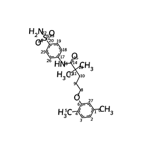 Cc1ccc(C)c(OCCCC(C)(C)C(=O)Nc2ccc(S(N)(=O)=O)cc2)c1